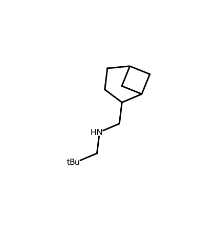 CC(C)(C)CNCC1CCC2CC1C2